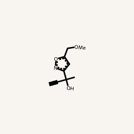 C#CC(C)(O)c1cc(COC)on1